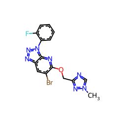 Cn1cnc(COc2nc3c(cc2Br)nnn3-c2ccccc2F)n1